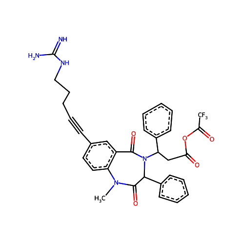 CN1C(=O)C(c2ccccc2)N(C(CC(=O)OC(=O)C(F)(F)F)c2ccccc2)C(=O)c2cc(C#CCCCNC(=N)N)ccc21